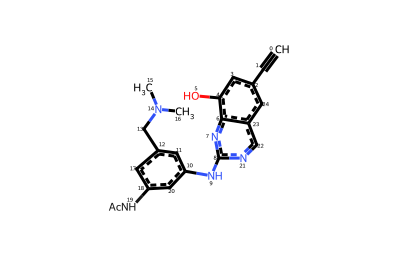 C#Cc1cc(O)c2nc(Nc3cc(CN(C)C)cc(NC(C)=O)c3)ncc2c1